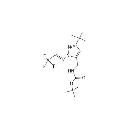 CC(C)(C)OC(=O)NCc1cc(C(C)(C)C)nn1/N=C/C(F)(F)F